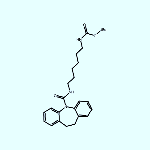 CC(C)(C)OC(=O)NCCCCCCNC(=O)N1c2ccccc2CCc2ccccc21